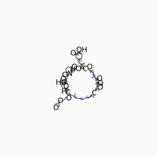 CO[C@@H]1/C(C)=C/[C@@H](C)C(=O)C[C@@H]([C@H](C)C[C@@H]2CC[C@@H](O)[C@H](OC)C2)OC(=O)[C@@H]2CCCCN2C(=O)C(=O)[C@]2(O)O[C@@H](CC[C@H]2C)CC(OCCOC2COC2)/C(C)=C/C=C/C=C/[C@@H](C)C[C@@H](C)C(=O)[C@@H]1OC